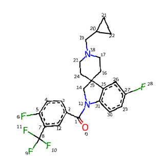 O=C(c1ccc(F)c(C(F)(F)F)c1)N1CC2(CCN(CC3CC3)CC2)c2cc(F)ccc21